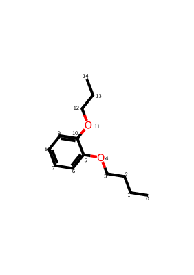 CCCCOc1cc[c]cc1OCCC